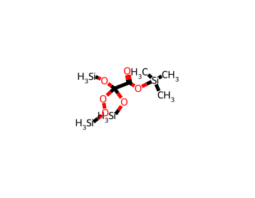 C[Si](C)(C)OC(=O)C(O[SiH3])(O[SiH3])OO[SiH3]